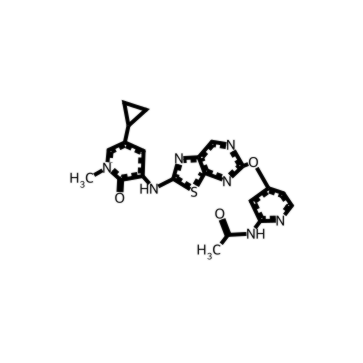 CC(=O)Nc1cc(Oc2ncc3nc(Nc4cc(C5CC5)cn(C)c4=O)sc3n2)ccn1